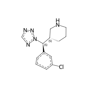 Clc1cccc([C@H]([C@H]2CCCNC2)n2ncnn2)c1